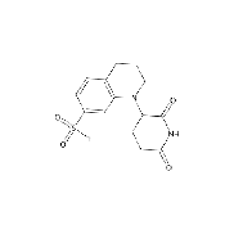 O=C1CCC(N2CCCc3ccc(S(=O)(=O)F)cc32)C(=O)N1